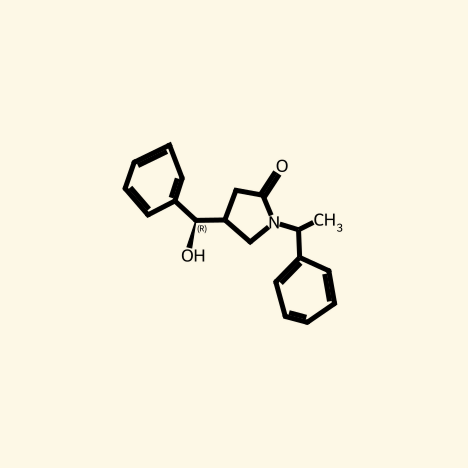 CC(c1ccccc1)N1CC([C@@H](O)c2ccccc2)CC1=O